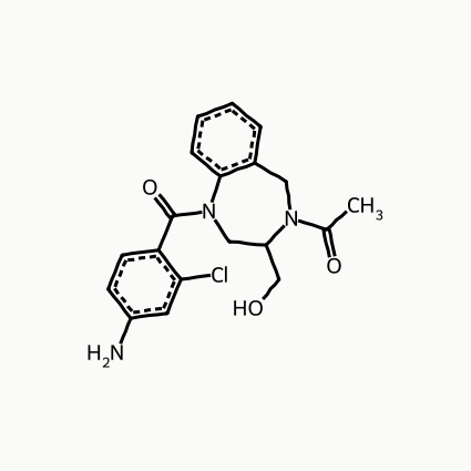 CC(=O)N1Cc2ccccc2N(C(=O)c2ccc(N)cc2Cl)CC1CO